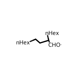 CCCCCCCCC([C]=O)CCCCCC